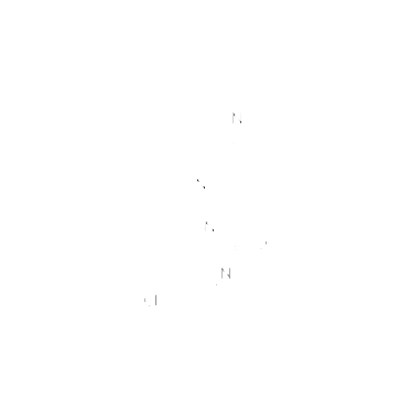 CCCCN(C(N)=O)c1ccc2ncccc2n1